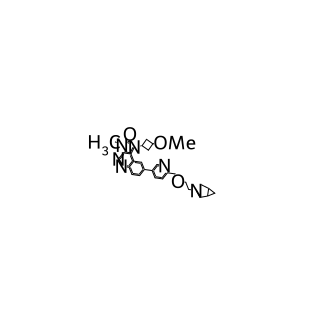 CO[C@H]1C[C@H](n2c(=O)n(C)c3nnc4ccc(-c5ccc(COCCN6CC7CC7C6)nc5)cc4c32)C1